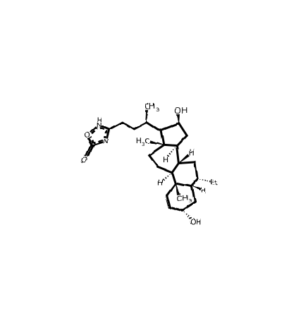 CC[C@H]1C[C@@H]2[C@H](CC[C@]3(C)C([C@H](C)CCc4nc(=O)o[nH]4)[C@@H](O)C[C@@H]23)[C@@]2(C)CC[C@@H](O)C[C@@H]12